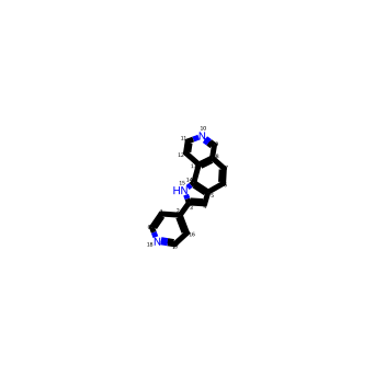 c1cc(-c2cc3ccc4cnccc4c3[nH]2)ccn1